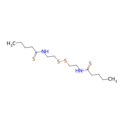 CCCCC(=S)NCCSSCCNC(=S)CCCC